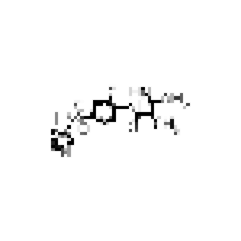 CC(C(=N)N)C(=O)Nc1ccc(S(=O)(=O)Nc2cncs2)cc1F